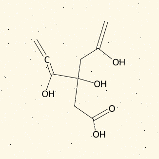 C=C=C(O)C(O)(CC(=C)O)CC(=O)O